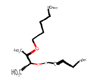 CCCCCCCCCCCCCCOC(C(=O)O)C(OCCCCCCCCCCCCCC)C(=O)O